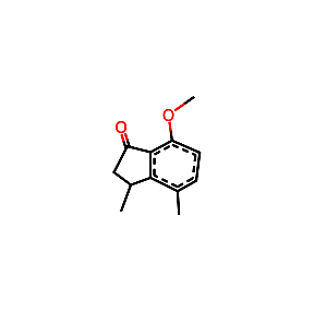 COc1ccc(C)c2c1C(=O)CC2C